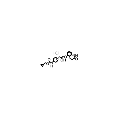 Cl.O=C1CCc2c(cccc2OC[C@@H](O)CN2CCC(NC(=O)OCC3CC3)CC2)N1